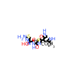 Nc1nc(C(=NO)C(=O)N[C@@H]2C(=O)N3C(C(=O)O)=C(C(C[C@H]4CNC[C@@H]4C(F)(F)F)=C4CCNC4=O)CS[C@H]23)cs1